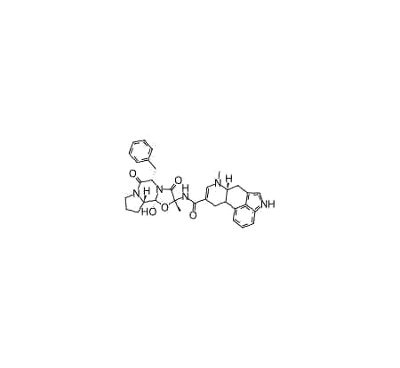 CN1C=C(C(=O)N[C@]2(C)O[C@@]3(O)[C@@H]4CCCN4C(=O)[C@H](Cc4ccccc4)N3C2=O)CC2c3cccc4[nH]cc(c34)C[C@H]21